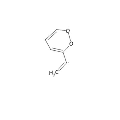 C=[C]C1=CC=COO1